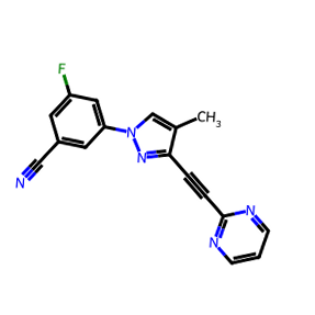 Cc1cn(-c2cc(F)cc(C#N)c2)nc1C#Cc1ncccn1